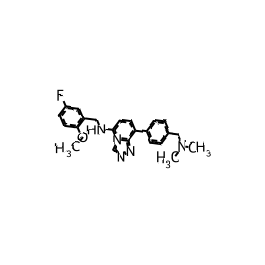 COc1ccc(F)cc1CNc1ccc(-c2ccc(CN(C)C)cc2)c2nncn12